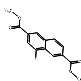 COC(=O)c1cc(I)c2cc(C(=O)OC)ccc2c1